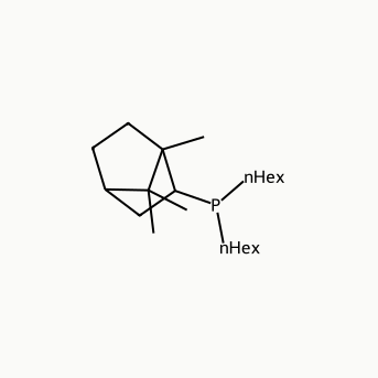 CCCCCCP(CCCCCC)C1CC2CCC1(C)C2(C)C